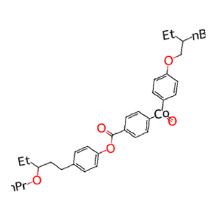 CCCCC(CC)COc1cc[c]([Co](=[O])[c]2ccc(C(=O)Oc3ccc(CCC(CC)OCCC)cc3)cc2)cc1